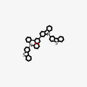 c1ccc(N(c2ccc3sc4ccccc4c3c2)c2ccccc2-c2cccc(-c3ccc4c5ccccc5n(-c5ccc6sc7ccccc7c6c5)c4c3)c2)cc1